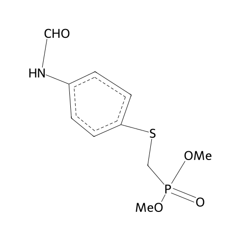 COP(=O)(CSc1ccc(NC=O)cc1)OC